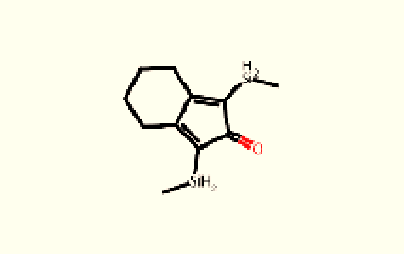 C[SiH2]C1=C2CCCCC2=C([SiH2]C)C1=O